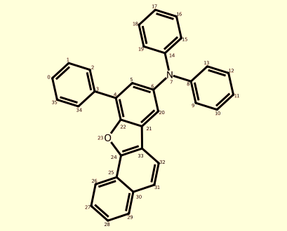 c1ccc(-c2cc(N(c3ccccc3)c3ccccc3)cc3c2oc2c4ccccc4ccc32)cc1